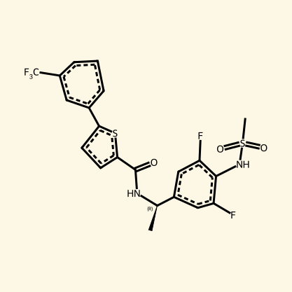 C[C@@H](NC(=O)c1ccc(-c2cccc(C(F)(F)F)c2)s1)c1cc(F)c(NS(C)(=O)=O)c(F)c1